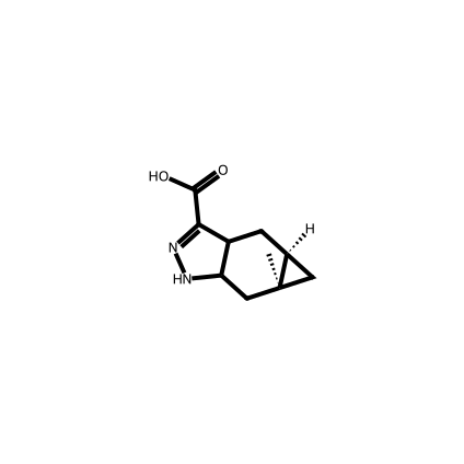 C[C@]12CC3NN=C(C(=O)O)C3C[C@H]1C2